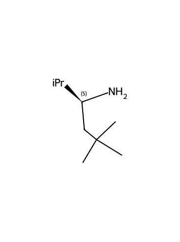 CC(C)[C@@H](N)CC(C)(C)C